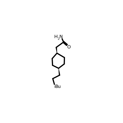 CCC(C)CC[C@H]1CC[C@@H](CC(N)=O)CC1